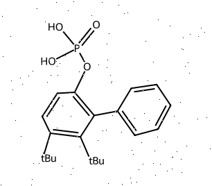 CC(C)(C)c1ccc(OP(=O)(O)O)c(-c2ccccc2)c1C(C)(C)C